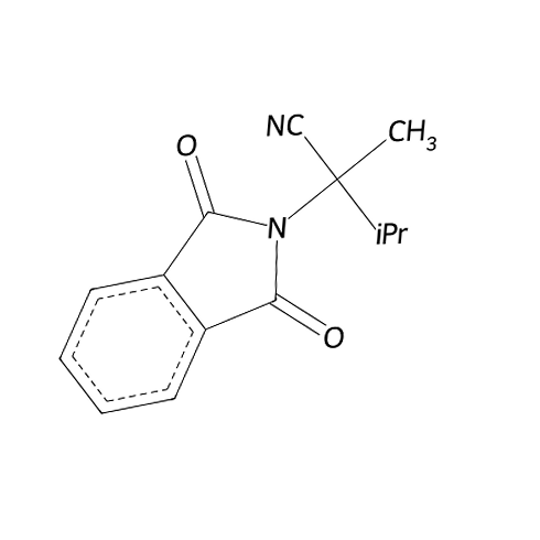 CC(C)C(C)(C#N)N1C(=O)c2ccccc2C1=O